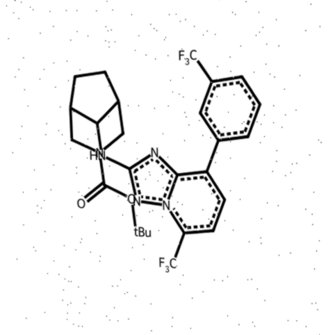 CC(C)(C)OC(=O)N1CC2CCC(C1)C2Nc1nc2c(-c3cccc(C(F)(F)F)c3)ccc(C(F)(F)F)n2n1